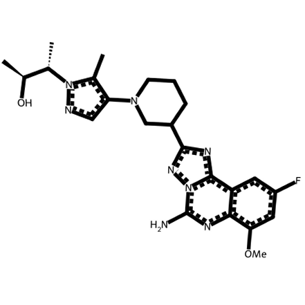 COc1cc(F)cc2c1nc(N)n1nc(C3CCCN(c4cnn([C@@H](C)[C@H](C)O)c4C)C3)nc21